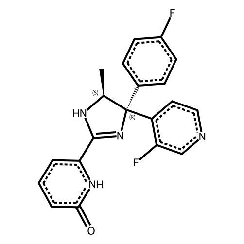 C[C@@H]1NC(c2cccc(=O)[nH]2)=N[C@]1(c1ccc(F)cc1)c1ccncc1F